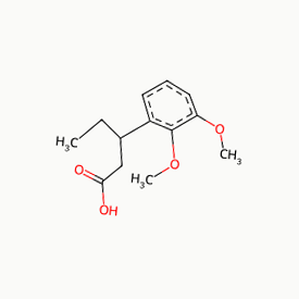 CCC(CC(=O)O)c1cccc(OC)c1OC